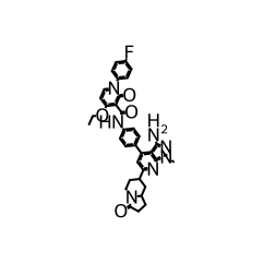 CCOc1ccn(-c2ccc(F)cc2)c(=O)c1C(=O)Nc1ccc(-c2cc(C3CCN4C(=O)CCC4C3)nc3c2c(N)nn3C)cc1